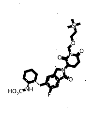 C[Si](C)(C)CCOCN1C(=O)CCC(N2Cc3cc(C[C@H]4CCCC[C@@H]4NC(=O)O)c(F)cc3C2=O)C1=O